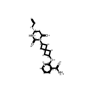 C=CC[C@@H]1CC(=O)N(C2CC3(CC(Oc4ncccc4C(N)=O)C3)C2)C(=O)N1